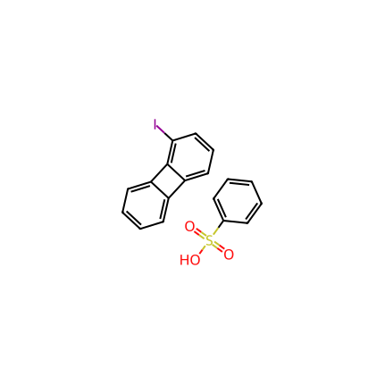 Ic1cccc2c1-c1ccccc1-2.O=S(=O)(O)c1ccccc1